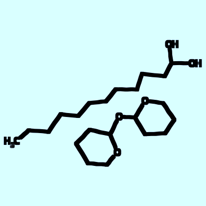 C1CCC(OC2CCCCO2)OC1.CCCCCCCCCCCC(O)O